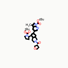 Cc1cn(C(=O)OC(C)(C)C)c2ncc(-c3cc4c(c(C5CCCN5C(=O)OC(C)(C)C)c3)CCN(C(=O)[C@@H]3CCOC3)C4)cc12